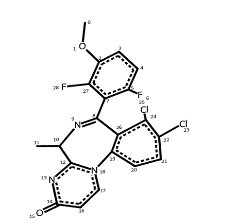 COc1ccc(F)c(C2=NC(C)c3nc(=O)ccn3-c3ccc(Cl)c(Cl)c32)c1F